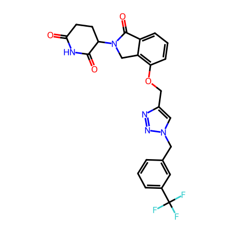 O=C1CCC(N2Cc3c(OCc4cn(Cc5cccc(C(F)(F)F)c5)nn4)cccc3C2=O)C(=O)N1